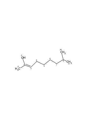 CC(O)=CCCCCC(C)C